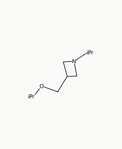 CC(C)OCC1CN(C(C)C)C1